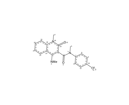 CNc1c(C(=O)N(C)c2ccc(C(F)(F)F)cc2)c(=O)n(C)c2ccccc12